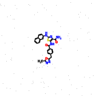 Cc1nnc(Cc2ccc(C(=O)Nc3sc(Nc4ccc5ccccc5c4)nc3C(N)=O)cc2)o1